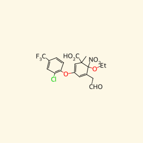 CCOC1([N+](=O)[O-])C(CC=O)=CC(Oc2ccc(C(F)(F)F)cc2Cl)=CC1(C)C(=O)O